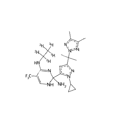 [2H]C([2H])([2H])C([2H])([2H])NC1=NC(N)(c2cc(C(C)(C)n3nc(C)c(C)n3)nn2C2CC2)NC=C1C(F)(F)F